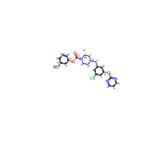 C[C@@H]1CN(Cc2cc(Cl)cc(Oc3ncccn3)c2)CCN1C(=O)Oc1cncc(C#N)c1